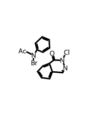 CC(=O)N(Br)c1ccccc1.O=c1c2ccccc2cnn1Cl